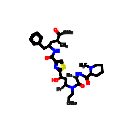 CC[C@@H](C)[C@H](NC(=O)C1CCCCN1C)C(=O)N(CCOC)[C@H](C[C@@H](O)c1nc(C(=O)N[C@@H](Cc2ccccc2)C[C@H](C)C(=O)OC)cs1)C(C)C